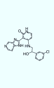 O=c1[nH]ccc(NCC(O)c2cccc(Cl)c2)c1-c1nc2cnccc2[nH]1